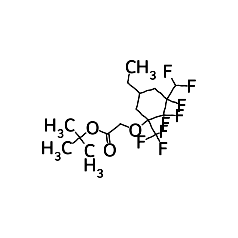 CCC1CC(F)(C(F)F)C(F)(F)C(OCC(=O)OC(C)(C)C)(C(F)(F)F)C1